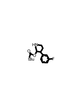 CC(C)(C)C(=O)OC1CNCCC1c1cccc(F)c1